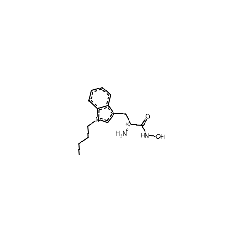 CCCCn1cc(C[C@@H](N)C(=O)NO)c2ccccc21